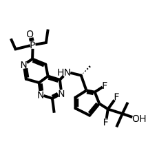 CCP(=O)(CC)c1cc2c(N[C@H](C)c3cccc(C(F)(F)C(C)(C)O)c3F)nc(C)nc2cn1